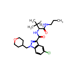 CCCNC(=O)[C@@H](NC(=O)c1nn(CC2CCOCC2)c2ccc(Cl)cc12)C(C)(C)C